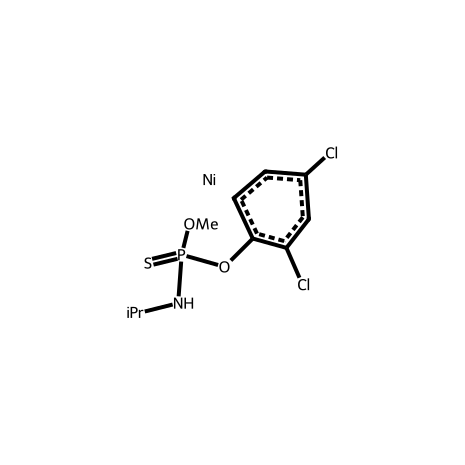 COP(=S)(NC(C)C)Oc1ccc(Cl)cc1Cl.[Ni]